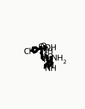 NC(=O)c1cnc2[nH]ccc2c1N1CCN(CC(NC(=O)O)C(=O)c2ccc(Cl)cc2)CC1